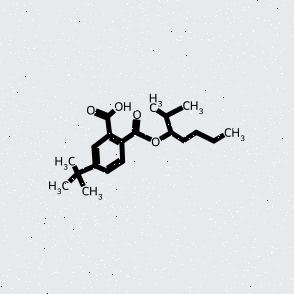 CCCCC(OC(=O)c1ccc(C(C)(C)C)cc1C(=O)O)C(C)C